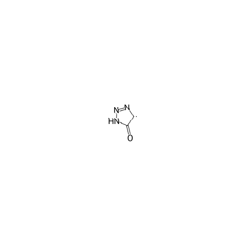 O=C1[CH]N=NN1